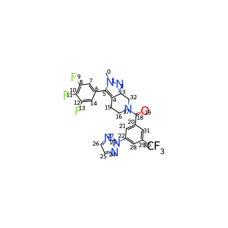 Cn1nc2c(c1-c1cc(F)c(F)c(F)c1)CCN(C(=O)c1cc(-n3nccn3)cc(C(F)(F)F)c1)C2